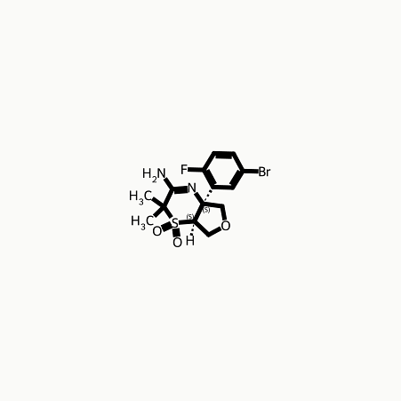 CC1(C)C(N)=N[C@@]2(c3cc(Br)ccc3F)COC[C@H]2S1(=O)=O